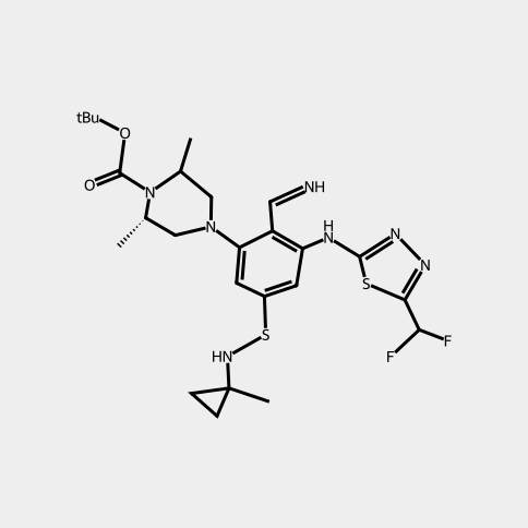 CC1CN(c2cc(SNC3(C)CC3)cc(Nc3nnc(C(F)F)s3)c2C=N)C[C@H](C)N1C(=O)OC(C)(C)C